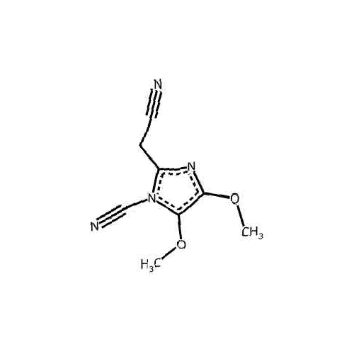 COc1nc(CC#N)n(C#N)c1OC